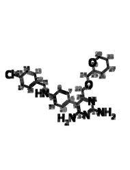 Nc1nc(N)c(-c2ccc(NCc3ccc(Cl)cc3)cc2)c(COCC2CCCCO2)n1